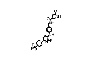 O=C1CC(C(=O)NCc2ccc(Nc3ccc(N4CCC(C(F)(F)F)CC4)nc3F)cc2)CN1